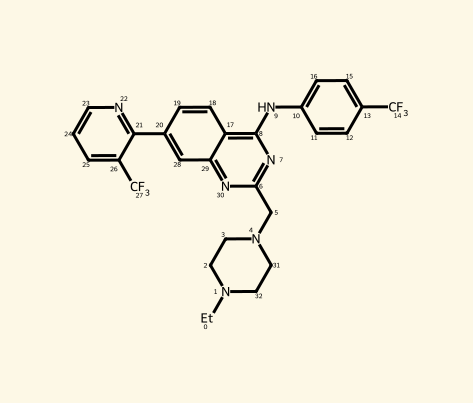 CCN1CCN(Cc2nc(Nc3ccc(C(F)(F)F)cc3)c3ccc(-c4ncccc4C(F)(F)F)cc3n2)CC1